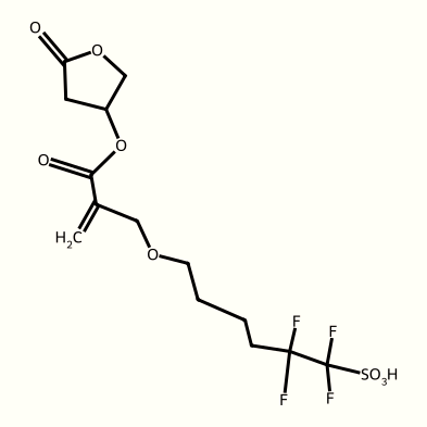 C=C(COCCCCC(F)(F)C(F)(F)S(=O)(=O)O)C(=O)OC1COC(=O)C1